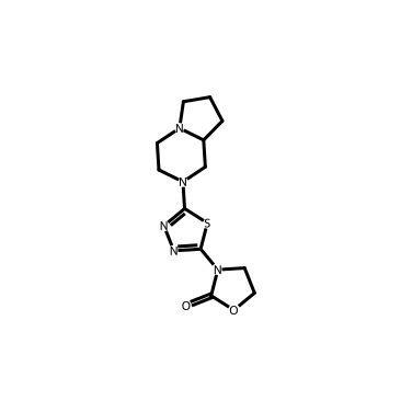 O=C1OCCN1c1nnc(N2CCN3CCCC3C2)s1